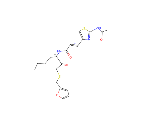 CCCC[C@H](NC(=O)/C=C/c1csc(NC(C)=O)n1)C(=O)CSCc1ccco1